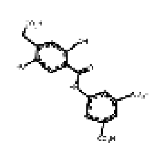 O=C(O)Cc1cc(O)c(C(=O)Nc2cc(C(=O)O)cc(C(=O)O)c2)cc1O